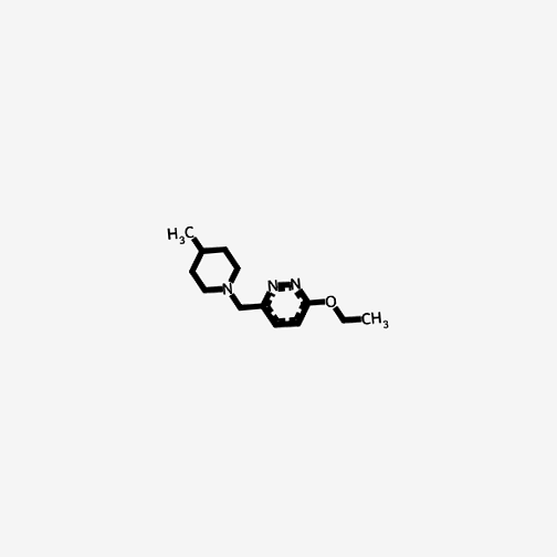 CCOc1ccc(CN2CCC(C)CC2)nn1